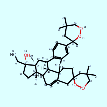 CC1(C)COOC2(CC[C@@]34Cc5cc(C6(C)CC(C)(C)COO6)ccc5[C@H]5C[C@@]6(C)[C@@H](CC[C@@]6(O)CC#N)[C@H](CC=C3C2)[C@H]54)C1